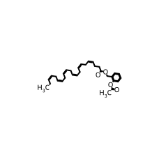 CC/C=C\C/C=C\C/C=C\C/C=C\C/C=C\C/C=C\CCC(=O)OCc1ccccc1OC(C)=O